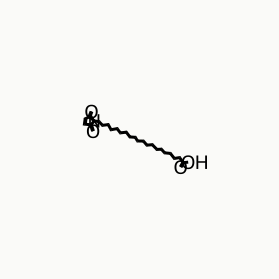 O=C(O)CCCCCCCCCCCCCCCCCCCN1C(=O)C=CC1=O